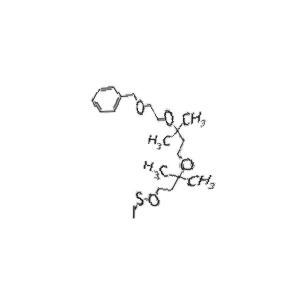 CC(C)(CCOSI)OCCC(C)(C)OCCOCc1ccccc1